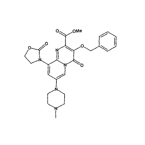 COC(=O)c1nc2c(N3CCOC3=O)cc(N3CCN(C)CC3)cn2c(=O)c1OCc1ccccc1